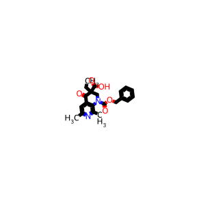 CCC1(C(=O)O)CN(C(=O)OCc2ccccc2)c2c(cc(C)nc2C)C1=O